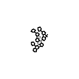 CC1(C)c2ccc(-c3ccccc3)cc2-c2cc(N(c3cccc4c3oc3ccc(-c5ccccc5)cc34)c3cccc4c3sc3c(-c5ccccc5)c5ccccc5cc34)ccc21